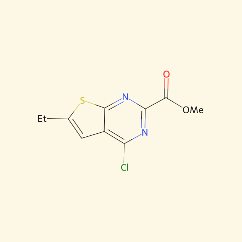 CCc1cc2c(Cl)nc(C(=O)OC)nc2s1